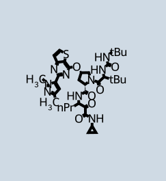 CCCC(NC(=O)[C@@H]1C[C@@H](Oc2nc(-c3cc(C)nn3C)nc3ccsc23)CN1C(=O)C(NC(=O)NC(C)(C)C)C(C)(C)C)C(=O)C(=O)NC1CC1